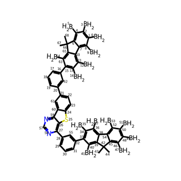 Bc1c(B)c(B)c2c(c1B)-c1c(B)c(B)c(-c3cccc(-c4ccc5sc6c(-c7cccc(-c8c(B)c(B)c9c(c8B)C(C)(C)c8c(B)c(B)c(B)c(B)c8-9)c7)ncnc6c5c4)c3)c(B)c1C2(C)C